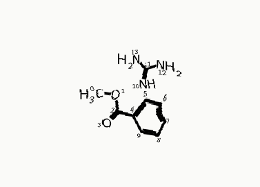 COC(=O)c1ccccc1.N=C(N)N